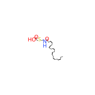 CC/C=C\C/C=C\C/C=C\C/C=C\C/C=C\C/C=C\CC(=O)NCCSCC(=O)O